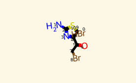 Br.Nc1nc(C(=O)CBr)cs1